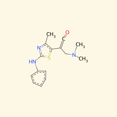 Cc1nc(Nc2ccccc2)sc1C(=C=O)CN(C)C